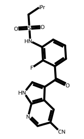 CC(C)CS(=O)(=O)Nc1cccc(C(=O)c2c[nH]c3ncc(C#N)cc23)c1F